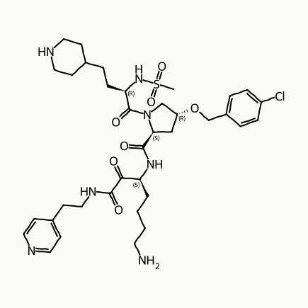 CS(=O)(=O)N[C@H](CCC1CCNCC1)C(=O)N1C[C@H](OCc2ccc(Cl)cc2)C[C@H]1C(=O)N[C@@H](CCCCN)C(=O)C(=O)NCCc1ccncc1